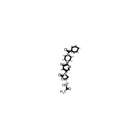 CC(=O)NC[C@H]1CN(c2cnc(N3CCN(C(=O)C4CCCCC4)CC3)c(F)c2)C(=O)O1